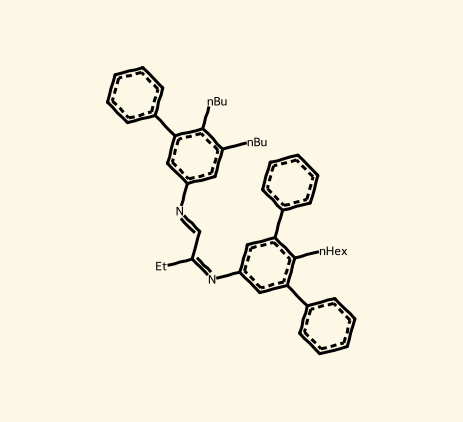 CCCCCCc1c(-c2ccccc2)cc(N=C(C=Nc2cc(CCCC)c(CCCC)c(-c3ccccc3)c2)CC)cc1-c1ccccc1